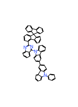 c1ccc(-n2c3ccccc3c3cc(-c4ccc5c(c4)c4ccccc4n5-c4nc(-c5cccc6c5-c5ccccc5C65c6ccccc6-c6ccccc65)nc5ccccc45)ccc32)cc1